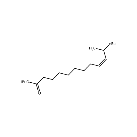 CCCCC(C)/C=C\CCCCCCCC(=O)OCC(C)C